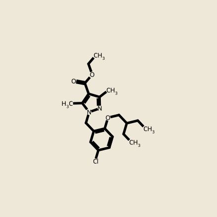 CCOC(=O)c1c(C)nn(Cc2cc(Cl)ccc2OCC(CC)CC)c1C